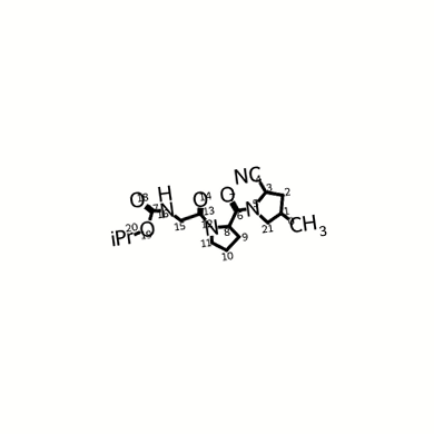 CC1CC(C#N)N(C(=O)C2CCCN2C(=O)CNC(=O)OC(C)C)C1